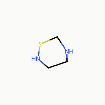 C1CNSCN1